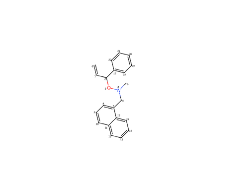 C=CC(ON(C)Cc1cccc2ccccc12)c1ccccc1